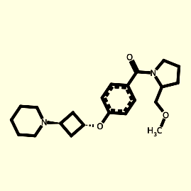 COCC1CCCN1C(=O)c1ccc(O[C@H]2C[C@H](N3CCCCC3)C2)cc1